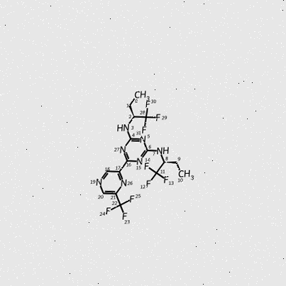 CC[C@H](Nc1nc(N[C@@H](CC)C(F)(F)F)nc(-c2cncc(C(F)(F)F)n2)n1)C(F)(F)F